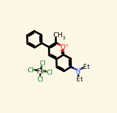 CCN(CC)c1ccc2cc(-c3ccccc3)c(C)[o+]c2c1.[Cl][Fe-]([Cl])([Cl])[Cl]